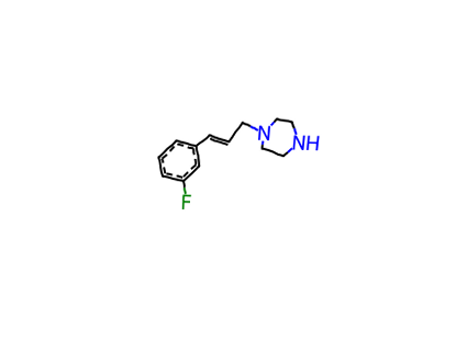 Fc1cccc(C=CCN2CCNCC2)c1